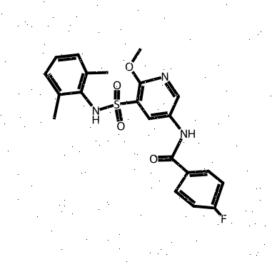 COc1ncc(NC(=O)c2ccc(F)cc2)cc1S(=O)(=O)Nc1c(C)cccc1C